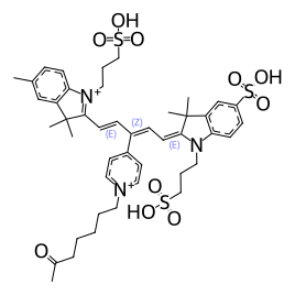 CC(=O)CCCCC[n+]1ccc(C(=C\C=C2\N(CCCS(=O)(=O)O)c3ccc(S(=O)(=O)O)cc3C2(C)C)/C=C/C2=[N+](CCCS(=O)(=O)O)c3ccc(C)cc3C2(C)C)cc1